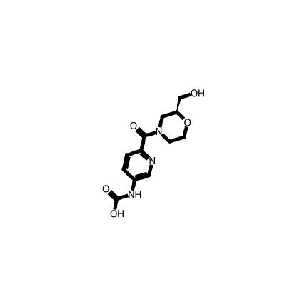 O=C(O)Nc1ccc(C(=O)N2CCO[C@H](CO)C2)nc1